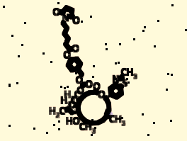 C=CC[C@H]1C(=O)C(C)(C)[C@@H](OC(=O)OCc2ccc(OC(=O)CCCCCN3C(=O)C=CC3=O)cc2)CC(=O)O[C@H](c2ccc3sc(C)nc3c2)C/C=C(/C)CCC[C@H](C)[C@@H]1O